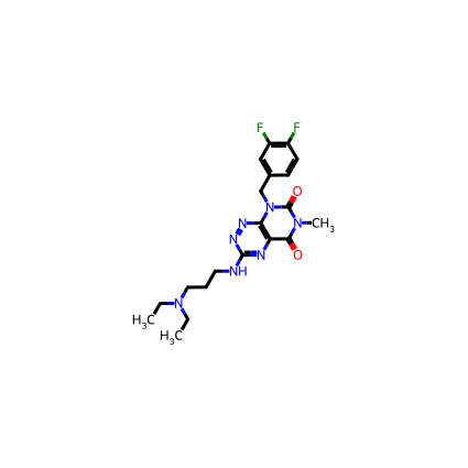 CCN(CC)CCCNc1nnc2c(n1)c(=O)n(C)c(=O)n2Cc1ccc(F)c(F)c1